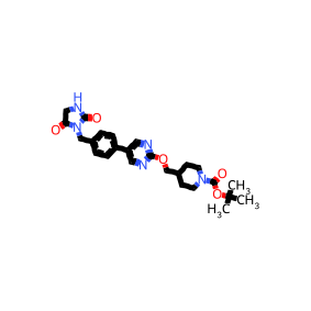 CC(C)(C)OC(=O)N1CCC(COc2ncc(-c3ccc(CN4C(=O)CNC4=O)cc3)cn2)CC1